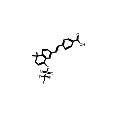 CC1(C)CC=C(OS(=O)(=O)C(F)(F)F)c2cc(/C=C/c3ccc(C(=O)O)cc3)ccc21